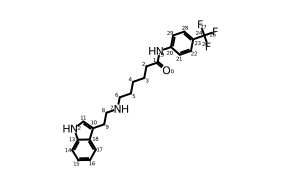 O=C(CCCCCNCCc1c[nH]c2ccccc12)Nc1ccc(C(F)(F)F)cc1